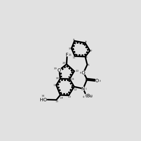 CC(C)(C)N(C(=O)OCc1ccccc1)c1cc(CO)cc2oc(F)cc12